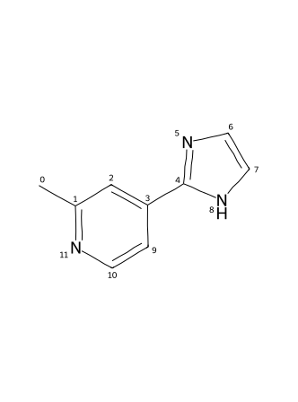 Cc1cc(-c2ncc[nH]2)ccn1